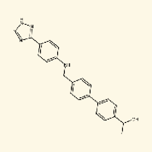 CC(O)c1ccc(-c2ccc(CNc3ccc(-c4nn[nH]n4)cc3)cc2)cc1